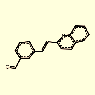 O=Cc1cccc(/C=C/c2ccc3ccccc3n2)c1